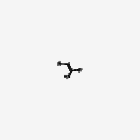 CC(C)C=C(N)C(C)C